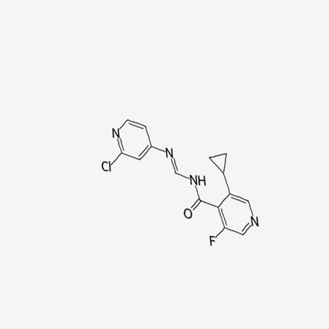 O=C(NC=Nc1ccnc(Cl)c1)c1c(F)cncc1C1CC1